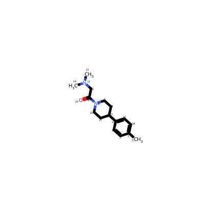 Cc1ccc(C2CCN(C(=O)CN(C)C)CC2)cc1